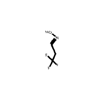 ON=CCC(F)(F)F